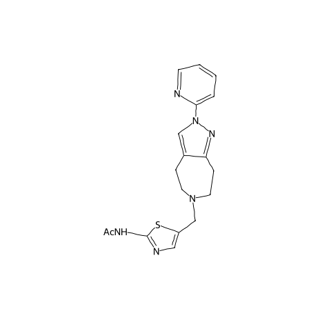 CC(=O)Nc1ncc(CN2CCc3cn(-c4ccccn4)nc3CC2)s1